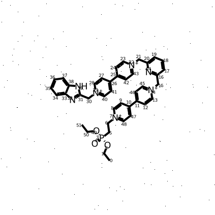 CCOP(=O)(CC[n+]1ccc(-c2cc[n+](Cc3cccc(C[n+]4ccc(-c5cc[n+](Cc6nc7ccccc7[nH]6)cc5)cc4)n3)cc2)cc1)OCC